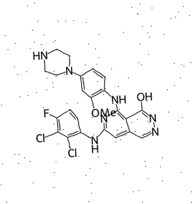 COc1cc(N2CCNCC2)ccc1Nc1nc(Nc2ccc(F)c(Cl)c2Cl)cc2cnnc(O)c12